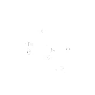 C=CCN1C(=O)c2ccccc2C1(C(O)CCCC)C(O)CCCC